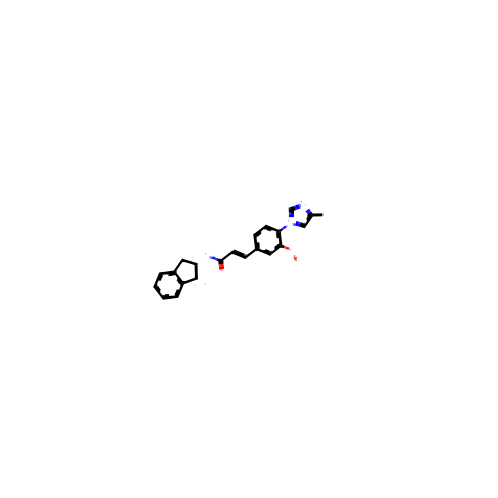 COc1cc(C=CC(=O)N[C@H]2Cc3ccccc3[C@H]2F)ccc1-n1cnc(C)c1